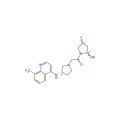 N#C[C@@H]1C[C@H](F)CN1C(=O)CN1CC[C@H](Nc2ccnc3c(C(F)(F)F)cccc23)C1